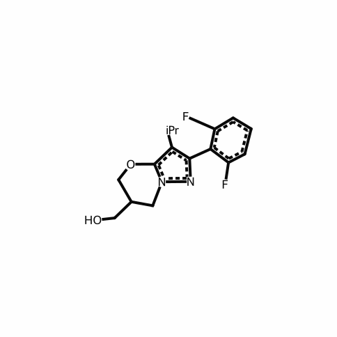 CC(C)c1c(-c2c(F)cccc2F)nn2c1OCC(CO)C2